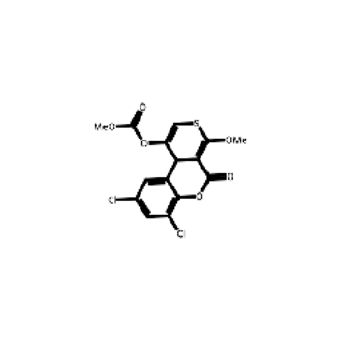 COC(=O)OC1=CSC(OC)=C2C(=O)Oc3c(Cl)cc(Cl)cc3C12